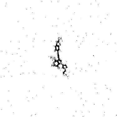 C=CCN1CC[C@H](n2cc(C#Cc3cc4nc(C)sc4cc3F)c3c(N)n[nH]c(=O)c32)C1